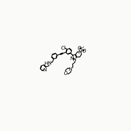 CS(=O)(=O)N1CCc2c(c(-c3ccc(Cl)c(C#Cc4cccc(CNCc5ccccn5)c4)c3)nn2CCCN2CCOCC2)C1